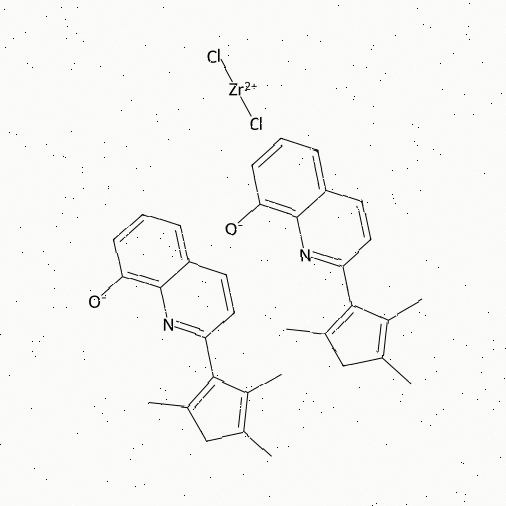 CC1=C(C)C(c2ccc3cccc([O-])c3n2)=C(C)C1.CC1=C(C)C(c2ccc3cccc([O-])c3n2)=C(C)C1.[Cl][Zr+2][Cl]